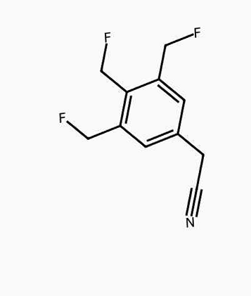 N#CCc1cc(CF)c(CF)c(CF)c1